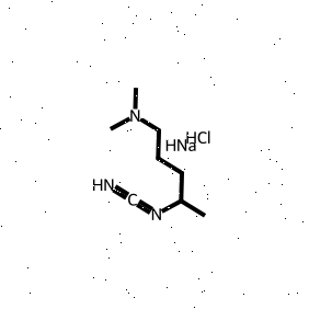 CC(CCCN(C)C)N=C=N.Cl.[NaH]